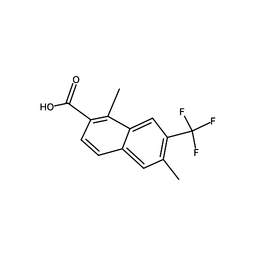 Cc1cc2ccc(C(=O)O)c(C)c2cc1C(F)(F)F